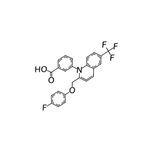 O=C(O)c1cccc(N2C(COc3ccc(F)cc3)=C=Cc3cc(C(F)(F)F)ccc32)c1